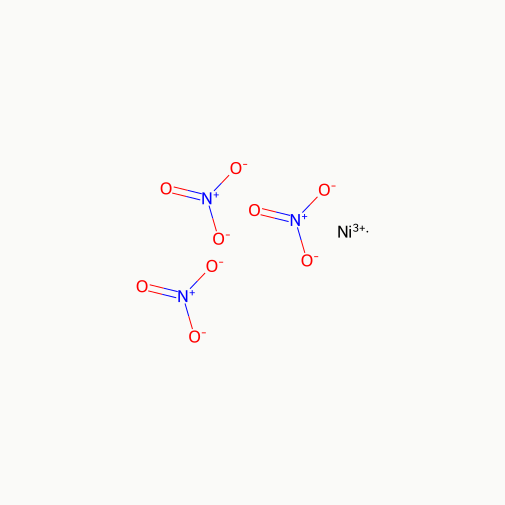 O=[N+]([O-])[O-].O=[N+]([O-])[O-].O=[N+]([O-])[O-].[Ni+3]